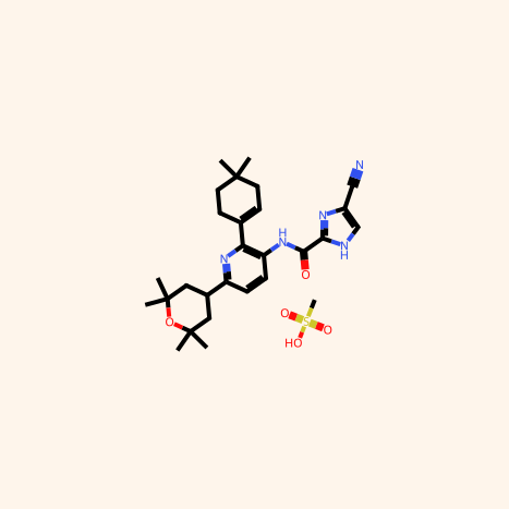 CC1(C)CC=C(c2nc(C3CC(C)(C)OC(C)(C)C3)ccc2NC(=O)c2nc(C#N)c[nH]2)CC1.CS(=O)(=O)O